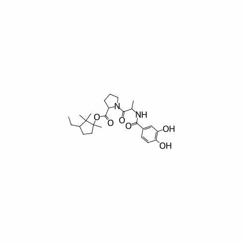 CCC1CCC(C)(OC(=O)C2CCCN2C(=O)C(C)NC(=O)c2ccc(O)c(O)c2)C1(C)C